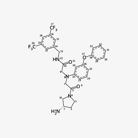 N[C@H]1CCN(C(=O)CN(CC(=O)NCc2cc(C(F)(F)F)cc(C(F)(F)F)c2)c2cccc(Oc3ccccc3)c2)C1